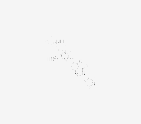 C[C@@H]1OCC2(CCC(N=N)(c3cnc(Sc4ccc5ncn(Cc6cccnc6)c(=O)c5c4Cl)cn3)CC2)[C@@H]1N